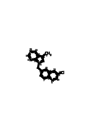 Cc1cn(Cc2ccc3ncc(Cl)cc3c2)c2ncncc12